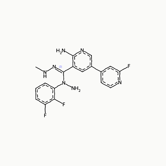 CN/N=C(/c1cc(-c2ccnc(F)c2)cnc1N)N(N)c1cccc(F)c1F